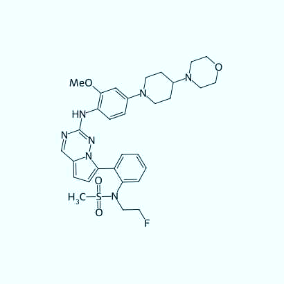 COc1cc(N2CCC(N3CCOCC3)CC2)ccc1Nc1ncc2ccc(-c3ccccc3N(CCF)S(C)(=O)=O)n2n1